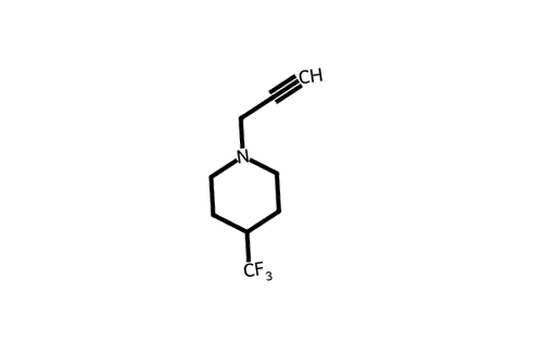 C#CCN1CCC(C(F)(F)F)CC1